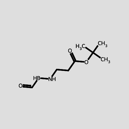 CC(C)(C)OC(=O)CCNBC=O